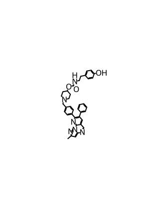 Cc1cc2ncc3cc(-c4ccccc4)c(-c4ccc(CN5CCC(OC(=O)NCCc6ccc(O)cc6)CC5)cc4)nc3n2n1